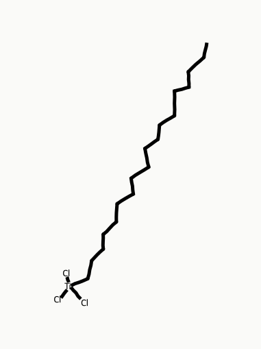 CCCCCCCCCCCCCCCCC[CH2][Ti]([Cl])([Cl])[Cl]